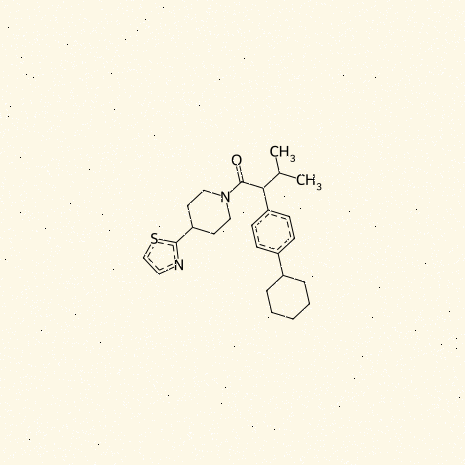 CC(C)C(C(=O)N1CCC(c2nccs2)CC1)c1ccc(C2CCCCC2)cc1